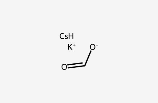 O=C[O-].[CsH].[K+]